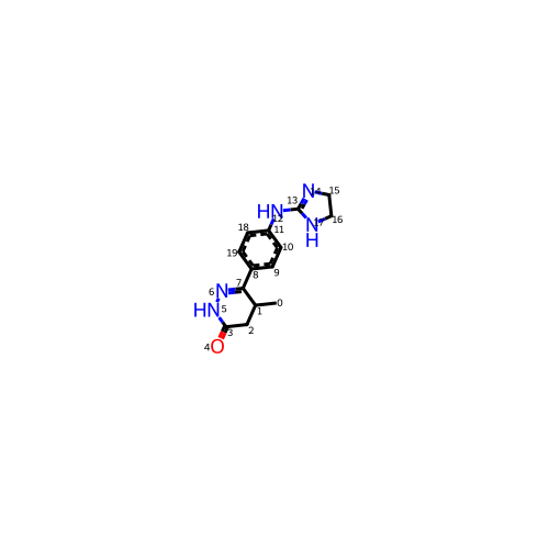 CC1CC(=O)NN=C1c1ccc(NC2=NCCN2)cc1